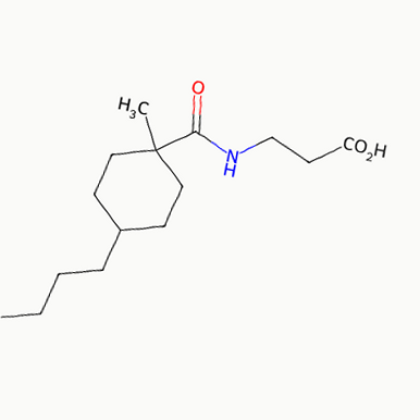 CC(C)CCCC1CCC(C)(C(=O)NCCC(=O)O)CC1